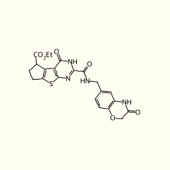 CCOC(=O)C1CCc2sc3nc(C(=O)NCc4ccc5c(c4)NC(=O)CO5)[nH]c(=O)c3c21